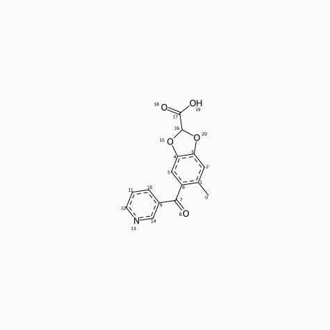 Cc1cc2c(cc1C(=O)c1cccnc1)OC(C(=O)O)O2